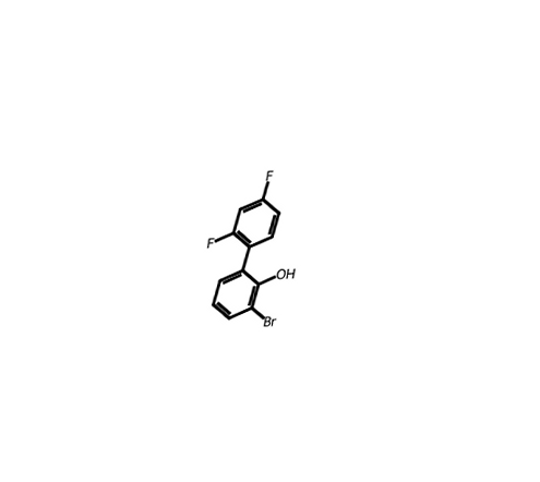 Oc1c(Br)cccc1-c1ccc(F)cc1F